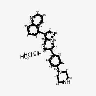 Cl.Cl.Cl.c1cc(-c2cnn3cc(-c4ccc(N5CCNCC5)cc4)cnc23)c2cccnc2c1